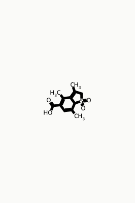 CC1=CC(C(=O)O)=C(C)C2=C(C)CS(=O)(=O)C12